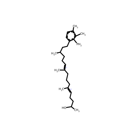 C/C(=C\CCC(C)O)CCC/C(C)=C/CCC(C)CCc1ccc(C)c(C)c1P